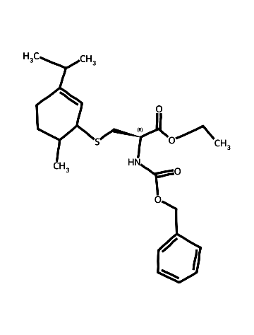 CCOC(=O)[C@H](CSC1C=C(C(C)C)CCC1C)NC(=O)OCc1ccccc1